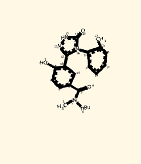 CCCCN(C)C(=O)c1[c]cc(O)c(-c2n[nH]c(=O)n2-c2ccccc2C)c1